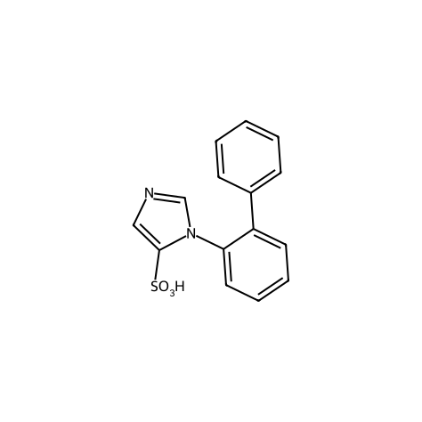 O=S(=O)(O)c1cncn1-c1ccccc1-c1ccccc1